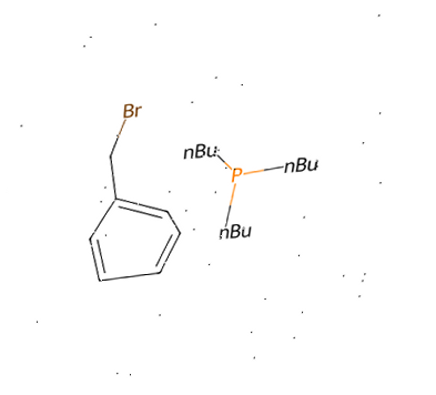 BrCc1ccccc1.CCCCP(CCCC)CCCC